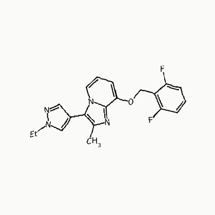 CCn1cc(-c2c(C)nc3c(OCc4c(F)cccc4F)cccn23)cn1